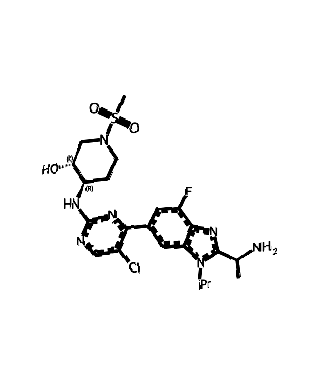 CC(N)c1nc2c(F)cc(-c3nc(N[C@@H]4CCN(S(C)(=O)=O)C[C@H]4O)ncc3Cl)cc2n1C(C)C